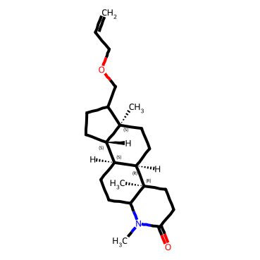 C=CCOCC1CC[C@H]2[C@@H]3CCC4N(C)C(=O)CC[C@]4(C)[C@@H]3CC[C@]12C